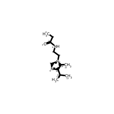 CCC(=O)NCCn1cnc(C(C)C)c1C